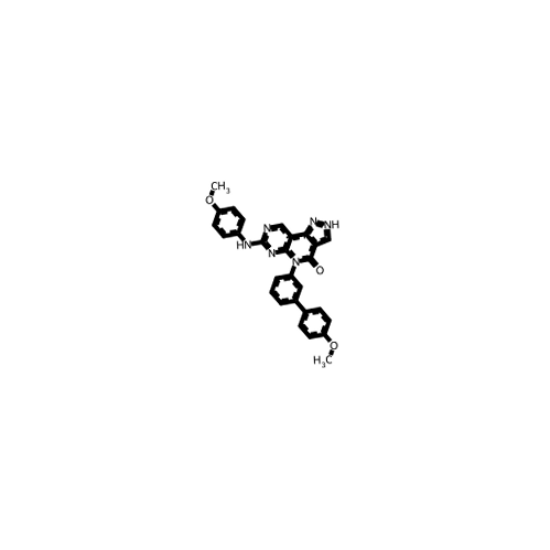 COc1ccc(Nc2ncc3c4n[nH]cc4c(=O)n(-c4cccc(-c5ccc(OC)cc5)c4)c3n2)cc1